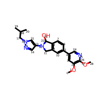 COc1cc(-c2ccc3c(c2)CN(c2cnn(CC(C)C)c2)C3O)cnc1OC